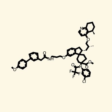 COC(=O)C1(N(C(=O)C(F)(F)F)c2cccc(Cl)c2)CCC2(CC1)c1cc(OCCCNC(=O)Cc3cccc(-c4ccc(OC)cc4)c3)ccc1C[C@@H]2C[C@@H](C)COc1ccnc2c1[C@H](C)CCC2